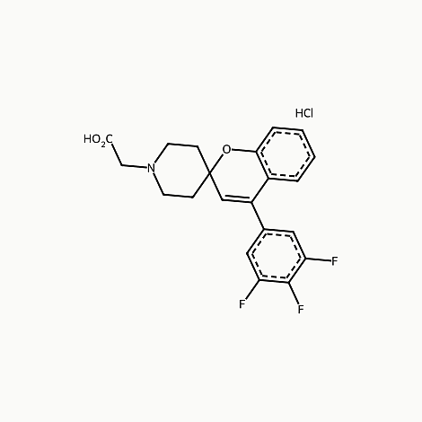 Cl.O=C(O)CN1CCC2(C=C(c3cc(F)c(F)c(F)c3)c3ccccc3O2)CC1